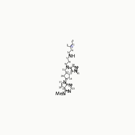 C/C=C(\C)CCNCCCN(CC1CCC(N2C=CC3C(NC)=NC=NC32)C1)c1cnn(C)c1